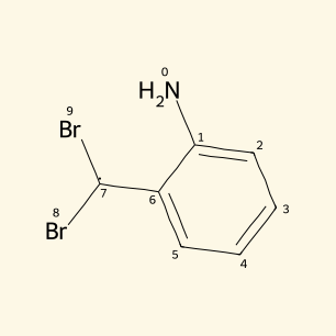 Nc1ccccc1[C](Br)Br